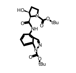 CC(C)(C)OC(=O)N1CC[C@H](O)[C@@H]1C(=O)Nc1cccc2c1cnn2C(=O)OC(C)(C)C